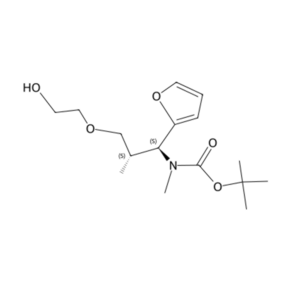 C[C@H](COCCO)[C@@H](c1ccco1)N(C)C(=O)OC(C)(C)C